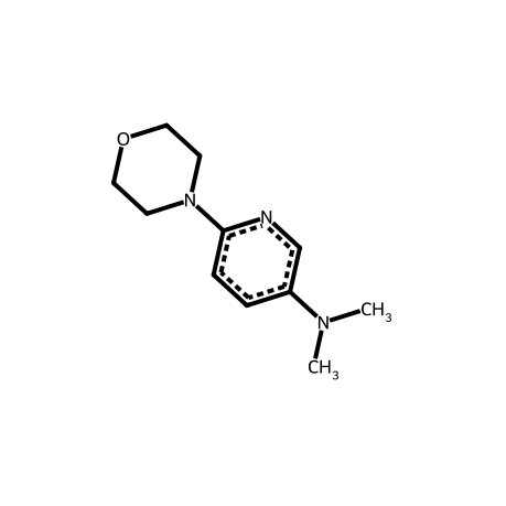 CN(C)c1ccc(N2CCOCC2)nc1